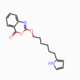 O=c1oc(OCCCCCCc2ccc[nH]2)nc2ccccc12